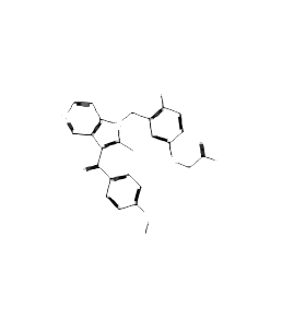 COc1ccc(C(=O)c2c(C)n(Cc3cc(O[C@@H](C)C(=O)O)ccc3Cl)c3ccncc23)cc1